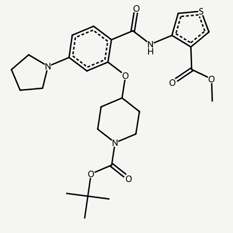 COC(=O)c1cscc1NC(=O)c1ccc(N2CCCC2)cc1OC1CCN(C(=O)OC(C)(C)C)CC1